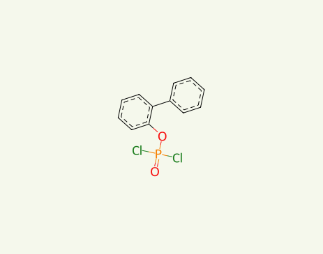 O=P(Cl)(Cl)Oc1ccccc1-c1ccccc1